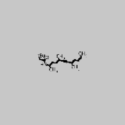 C/C=C\C=C(/C)C#C/C(C)=C/C=C(\C)NC(=O)CC(C)(C)C